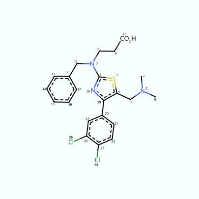 CN(C)Cc1sc(N(CCC(=O)O)Cc2ccccc2)nc1-c1ccc(Cl)c(Cl)c1